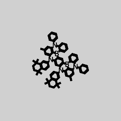 Cc1cc2c3c(c1)N(c1ccc4c(c1)C(C)(C)CCC4(C)C)c1cc4c(cc1B3c1ccccc1N2c1ccccc1)B1c2ccccc2N(c2ccccc2)c2cc(C)cc(c21)N4c1ccc2c(c1)C(C)(C)CCC2(C)C